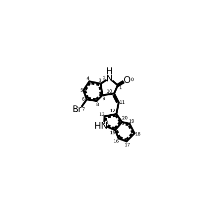 O=C1Nc2ccc(Br)cc2/C1=C\c1c[nH]c2ccccc12